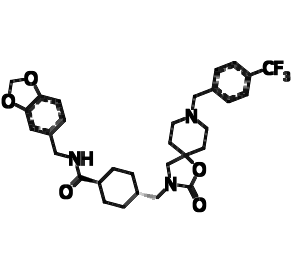 O=C1OC2(CCN(Cc3ccc(C(F)(F)F)cc3)CC2)CN1C[C@H]1CC[C@H](C(=O)NCc2ccc3c(c2)OCO3)CC1